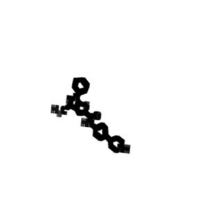 Cc1nn(-c2ccccc2)c2sc(C(=O)Nc3ccc(C4CCNCC4)cc3)cc12